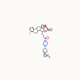 CN1CCC(N2CCN(C(=O)CCCC3/C(=C/N=O)C(=O)C4(C)CCC5c6cccc(F)c6CCC5C34)CC2)CC1